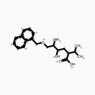 CC(C)C(CC(O)C(N)COCc1cccc2ccccc12)C(=O)O